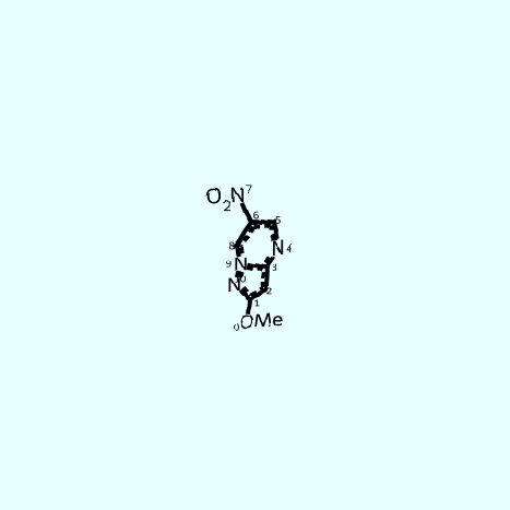 COc1cc2ncc([N+](=O)[O-])cn2n1